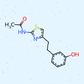 CC(=O)Nc1nc(CCc2cccc(O)c2)cs1